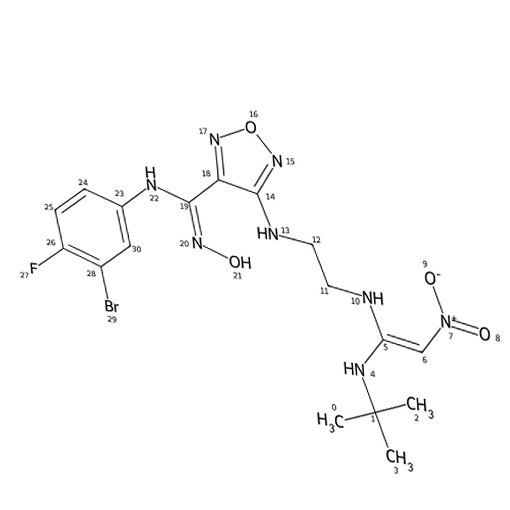 CC(C)(C)NC(=C[N+](=O)[O-])NCCNc1nonc1C(=NO)Nc1ccc(F)c(Br)c1